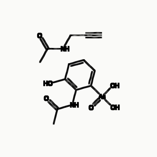 C#CCNC(C)=O.CC(=O)Nc1c(O)cccc1[As](=O)(O)O